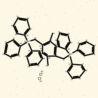 Cc1cc(C[P+](c2ccccc2)(c2ccccc2)c2ccccc2)c(C)cc1C[P+](c1ccccc1)(c1ccccc1)c1ccccc1.[Cl-].[Cl-]